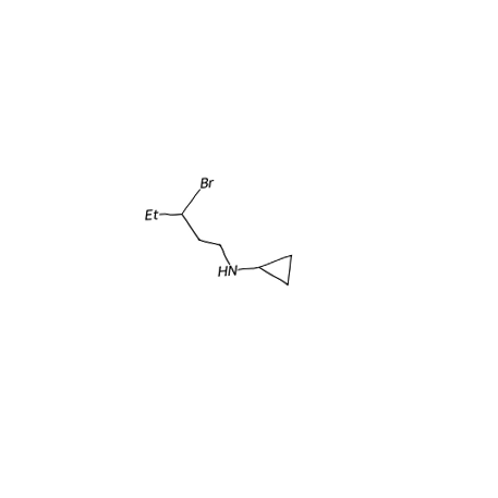 CCC(Br)CCNC1CC1